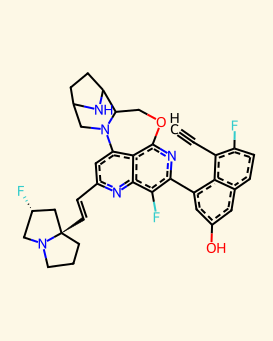 C#Cc1c(F)ccc2cc(O)cc(-c3nc4c5c(cc(/C=C/[C@@]67CCCN6C[C@H](F)C7)nc5c3F)N3CC5CCC(N5)C3CO4)c12